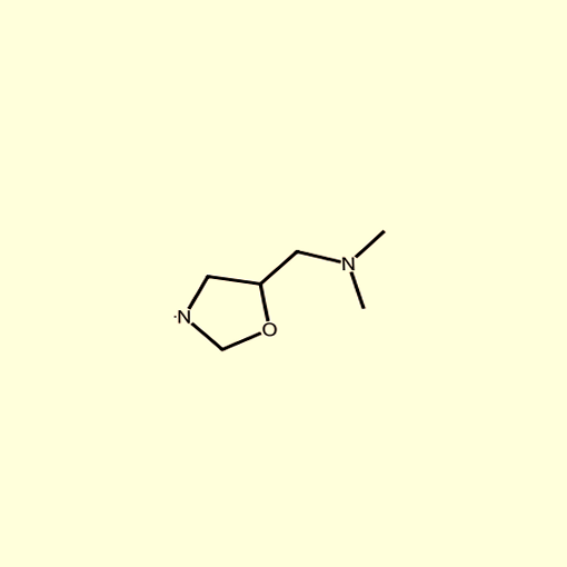 CN(C)CC1C[N]CO1